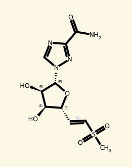 CS(=O)(=O)/C=C/[C@H]1O[C@@H](n2cnc(C(N)=O)n2)[C@H](O)[C@@H]1O